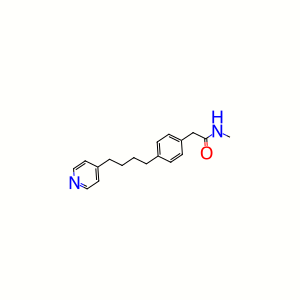 CNC(=O)Cc1ccc(CCCCc2ccncc2)cc1